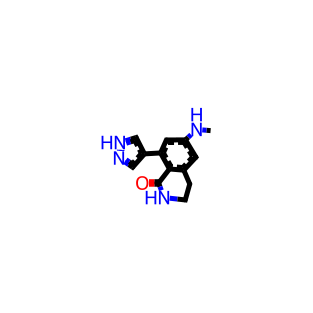 CNc1cc2c(c(-c3cn[nH]c3)c1)C(=O)NCC2